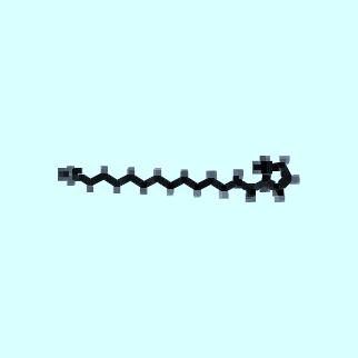 CCCCCCCCCCCCSSc1ncc[nH]1